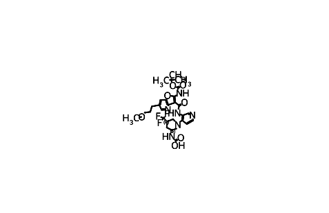 COCCCc1cnc2c(C(=O)Nc3cnccc3N3C[C@@H](NC(=O)O)C[C@@H](C(F)(F)F)C3)c(NC(=O)OC(C)(C)C)oc2c1